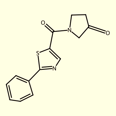 O=C1CCN(C(=O)c2cnc(-c3ccccc3)s2)C1